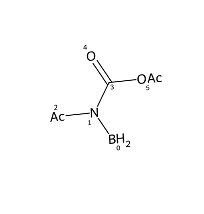 BN(C(C)=O)C(=O)OC(C)=O